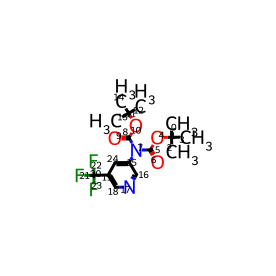 CC(C)(C)OC(=O)N(C(=O)OC(C)(C)C)c1cncc(C(F)(F)F)c1